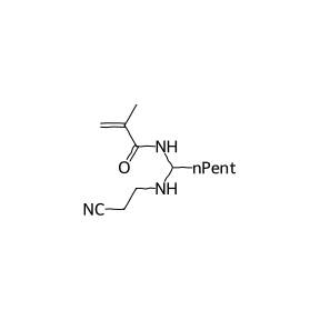 C=C(C)C(=O)NC(CCCCC)NCCC#N